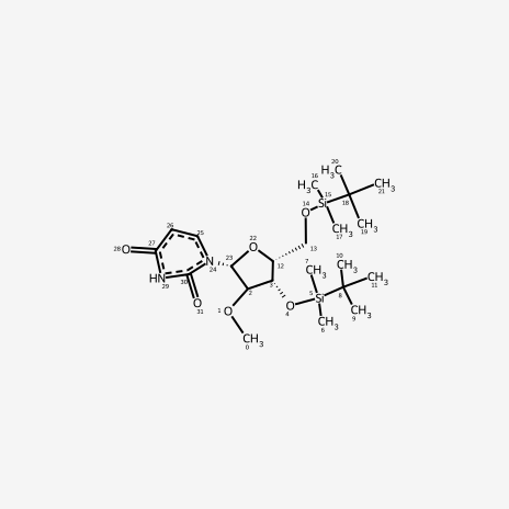 COC1[C@@H](O[Si](C)(C)C(C)(C)C)[C@@H](CO[Si](C)(C)C(C)(C)C)O[C@H]1n1ccc(=O)[nH]c1=O